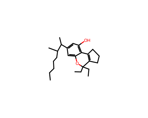 CCCCCC(C)C(C)c1cc(O)c2c(c1)OC(CC)(CC)C1=C2CCC1